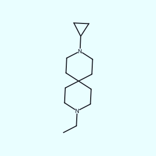 CCN1CCC2(CC1)CCN(C1CC1)CC2